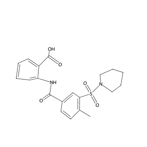 Cc1ccc(C(=O)Nc2ccccc2C(=O)O)cc1S(=O)(=O)N1CCCCC1